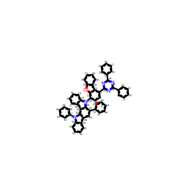 FC(F)(F)c1cc(-c2nc(-c3ccccc3)nc(-c3ccccc3)n2)c2c(oc3ccccc32)c1-n1c2ccccc2c2c1c(-c1ccccc1)cc1c3ccccc3n(-c3ccccc3)c12